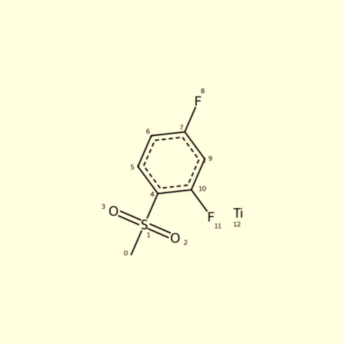 CS(=O)(=O)c1ccc(F)[c]c1F.[Ti]